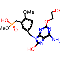 COc1ccc(Cn2c(O)nc3c(N)nc(OCCO)nc32)cc1CP(=O)(O)OC